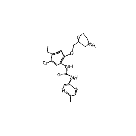 CCc1cc(OC[C@@H]2CNCCO2)c(NC(=O)Nc2cnc(C)cn2)cc1Cl